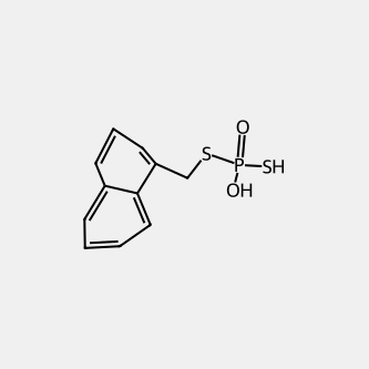 O=P(O)(S)SCc1cccc2ccccc12